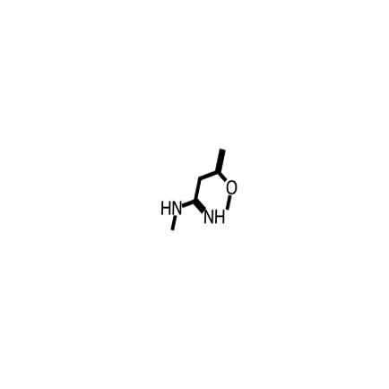 C=C(CC(=N)NC)OC